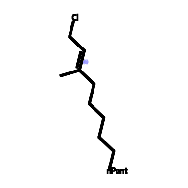 CCCCCCCCCC/C(C)=C/CCl